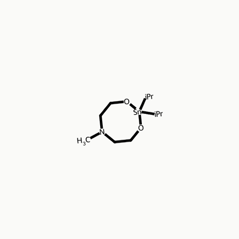 C[CH](C)[Sn]1([CH](C)C)[O]CCN(C)CC[O]1